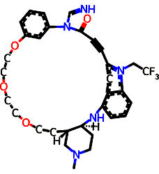 CN1CC[C@@H]2Nc3cccc4c3cc(n4CC(F)(F)F)C#CC(=O)N(C=N)c3cccc(c3)OCCOCCOCC[C@H]2C1